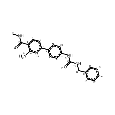 CNC(=O)c1ccc(-c2ccc(NC(=O)NCc3cccnc3)cc2)nc1N